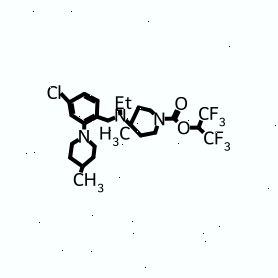 CCN(Cc1ccc(Cl)cc1N1CCC(C)CC1)C1(C)CCN(C(=O)OC(C(F)(F)F)C(F)(F)F)CC1